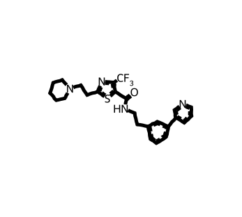 O=C(NCCc1cccc(-c2cccnc2)c1)c1sc(CCN2CCCCC2)nc1C(F)(F)F